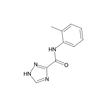 Cc1ccccc1NC(=O)c1nc[nH]n1